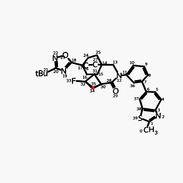 Cc1nc2ccc(-c3cccc(N(CC45CCC(c6nc(C(C)(C)C)no6)(CC4)CC5)C(=O)C45CC(F)(C4)C5)c3)cc2s1